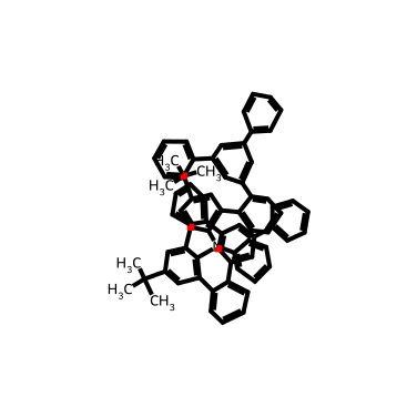 CC(C)(C)c1cc(-c2ccccc2-c2cc(-c3ccccc3)cc(-c3ccccc3)c2)c2c(c1)c1cc(C(C)(C)C)cc(-c3ccccc3-c3cc(-c4ccccc4)cc(-c4ccccc4)c3)c1n2-c1ccccc1